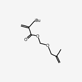 C=C(C)COCOC(=O)C(=C)C(C)CC